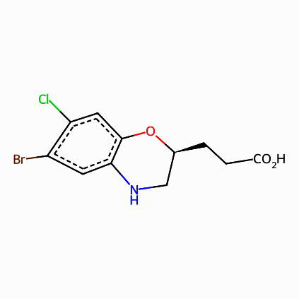 O=C(O)CC[C@H]1CNc2cc(Br)c(Cl)cc2O1